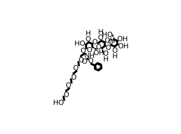 O=C(NC(COCCOCCOCCOCCOCCO)O[C@@H]1O[C@H](CO)[C@@H](O[C@H]2O[C@H](CO)[C@@H](O[C@H]3O[C@H](CO)[C@@H](O)[C@H](O)[C@H]3O)[C@H](O)[C@H]2O)[C@H](O)[C@H]1O)OCc1ccccc1